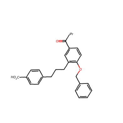 CC(C)C(=O)c1ccc(OCc2ccccc2)c(CCCc2ccc(C(=O)O)cc2)c1